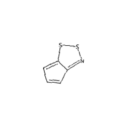 c1cc2nssc-2c1